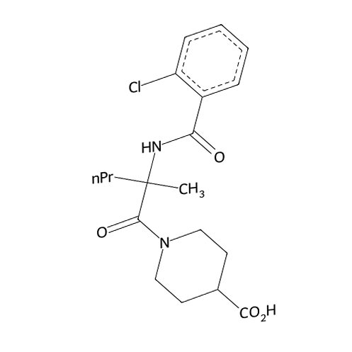 CCCC(C)(NC(=O)c1ccccc1Cl)C(=O)N1CCC(C(=O)O)CC1